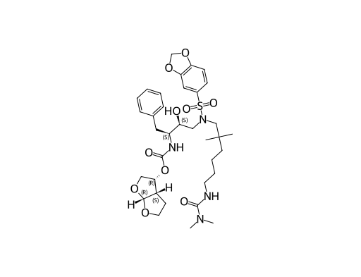 CN(C)C(=O)NCCCCC(C)(C)CN(C[C@H](O)[C@H](Cc1ccccc1)NC(=O)O[C@H]1CO[C@H]2OCC[C@H]21)S(=O)(=O)c1ccc2c(c1)OCO2